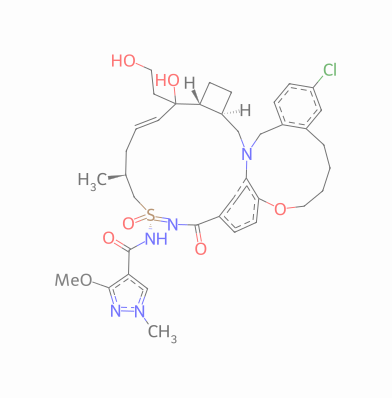 COc1nn(C)cc1C(=O)N[S@@]1(=O)=NC(=O)c2ccc3c(c2)N(Cc2ccc(Cl)cc2CCCCO3)C[C@@H]2CC[C@H]2C(O)(CCO)/C=C/C[C@H](C)C1